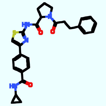 O=C(NC1CC1)c1ccc(-c2csc(NC(=O)C3CCCN3C(=O)CCc3ccccc3)n2)cc1